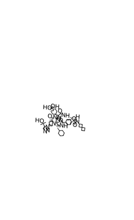 CC(C)(O)c1cnnn1[C@H]1C[C@@H](C(=O)NC2(C(=O)C(N)=O)CCS(O)(O)CC2)N(C(=O)[C@@H](CC2CCCCC2)NC(=O)c2ccc(S(=O)(=O)NC3CC4(CCC4)C3)cc2)C1